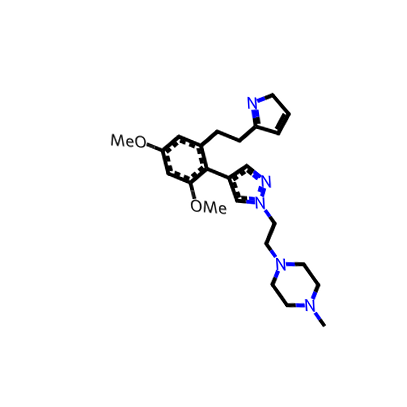 COc1cc(CCC2=NCC=C2)c(-c2cnn(CCN3CCN(C)CC3)c2)c(OC)c1